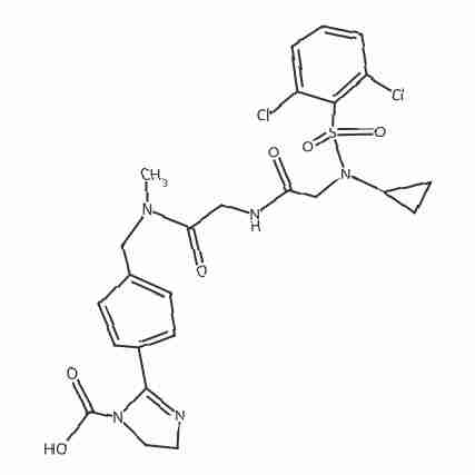 CN(Cc1ccc(C2=NCCN2C(=O)O)cc1)C(=O)CNC(=O)CN(C1CC1)S(=O)(=O)c1c(Cl)cccc1Cl